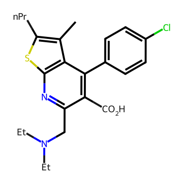 CCCc1sc2nc(CN(CC)CC)c(C(=O)O)c(-c3ccc(Cl)cc3)c2c1C